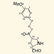 COc1ccc(CCCC(=O)C2CN[C@H](C=O)C2)cc1